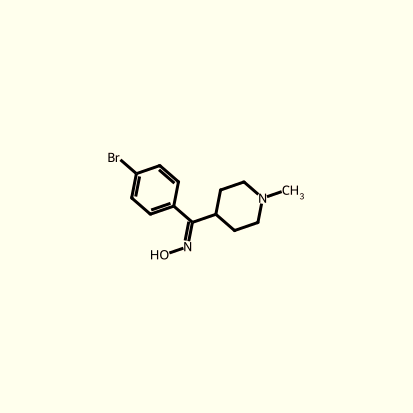 CN1CCC(/C(=N/O)c2ccc(Br)cc2)CC1